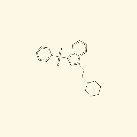 O=S(=O)(c1ccccc1)c1cn(CCN2CCCCC2)c2ccccc12